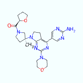 C[C@]1(N2CCc3c(-c4cnc(N)nc4)nc(N4CCOCC4)nc32)CCN(C(=O)[C@H]2CCCO2)C1